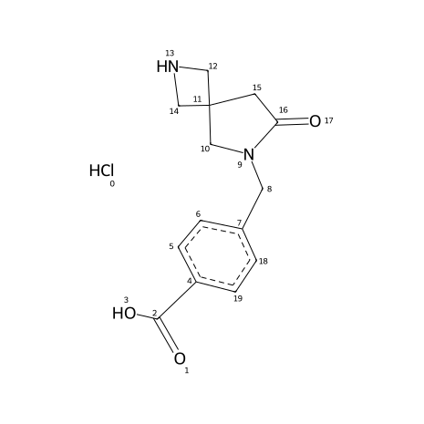 Cl.O=C(O)c1ccc(CN2CC3(CNC3)CC2=O)cc1